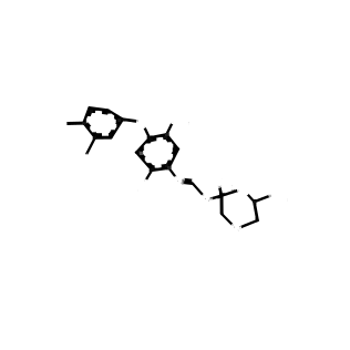 Cc1cc(Oc2ccc(F)c(Cl)c2)c(C)cc1/N=C/NC1(C)CNCC(C)O1